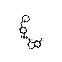 Clc1ccc2c(c1)/C(=C/Nc1ccc(CN3CCCCC3)cc1)C=NC2